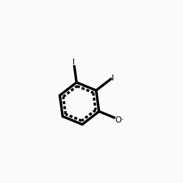 [O]c1cccc(I)c1I